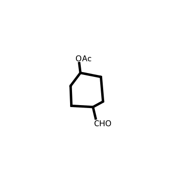 CC(=O)OC1CCC(C=O)CC1